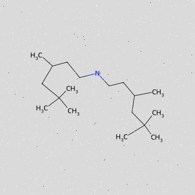 CC(CC[N]CCC(C)CC(C)(C)C)CC(C)(C)C